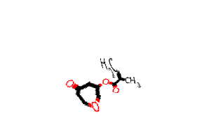 C=C(C)C(=O)OC1COCC(=O)C1